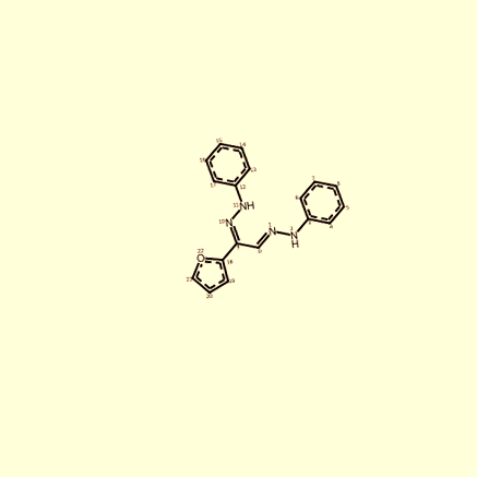 C(=NNc1ccccc1)C(=NNc1ccccc1)c1ccco1